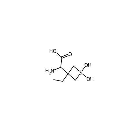 CCC1(C(N)C(=O)O)CS(O)(O)C1